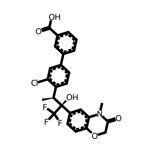 C[C@@H](c1ccc(-c2cccc(C(=O)O)c2)cc1Cl)[C@](O)(c1ccc2c(c1)N(C)C(=O)CO2)C(F)(F)F